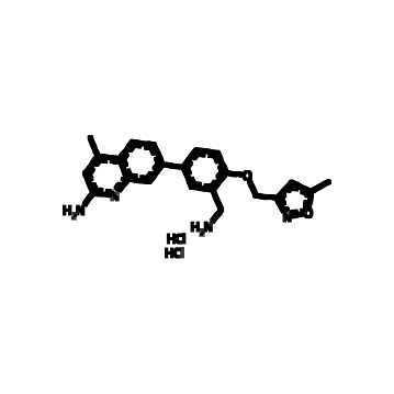 Cc1cc(COc2ccc(-c3ccc4c(C)cc(N)nc4c3)cc2CN)no1.Cl.Cl